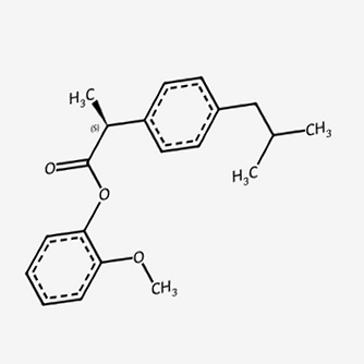 COc1ccccc1OC(=O)[C@@H](C)c1ccc(CC(C)C)cc1